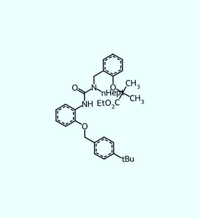 CCCCCCCN(Cc1ccccc1OC(C)(C)C(=O)OCC)C(=O)Nc1ccccc1OCc1ccc(C(C)(C)C)cc1